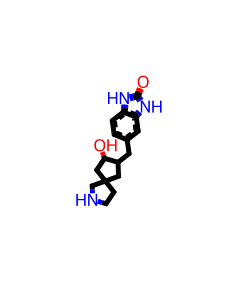 O=c1[nH]c2ccc(CC3CC4(CCNC4)CC3O)cc2[nH]1